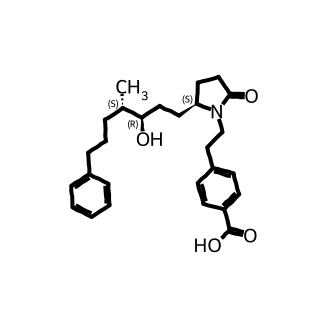 C[C@@H](CCCc1ccccc1)[C@H](O)CC[C@H]1CCC(=O)N1CCc1ccc(C(=O)O)cc1